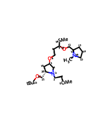 COCCN1C[C@H](OCCC(OCC2CCCN2C)SC)C[C@H]1COC(C)(C)C